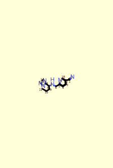 N#Cc1ccc(CNC2CCCn3ncnc32)nc1